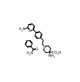 NC(=O)c1ccccc1.Nc1cccc(-c2ccc(CCN3CCC(N)(C(=O)O)CC3)cc2)n1